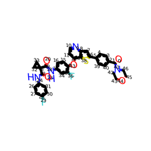 O=C(c1ccc(-c2cc3nccc(Oc4ccc(NC(=O)C5(C(=O)Nc6ccc(F)cc6)CC5)cc4F)c3s2)cc1)N1CCOCC1